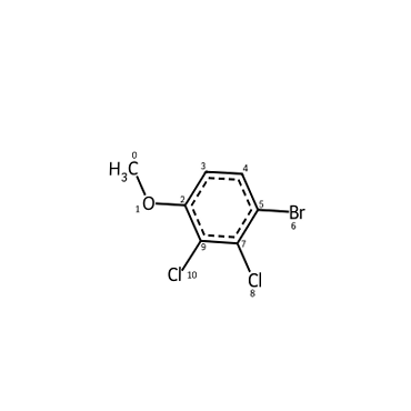 COc1ccc(Br)c(Cl)c1Cl